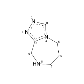 c1nnc2n1CCCNC2